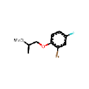 COC(C)COc1ccc(F)cc1Br